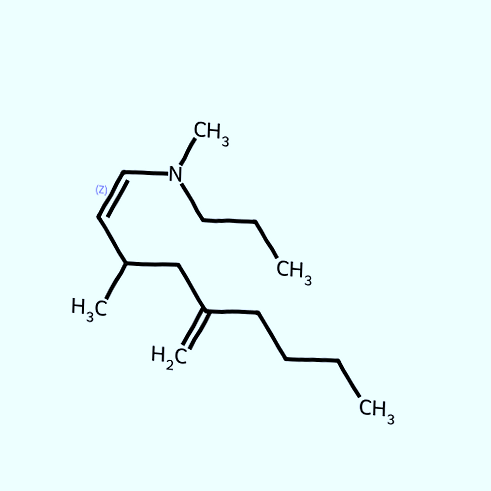 C=C(CCCC)CC(C)/C=C\N(C)CCC